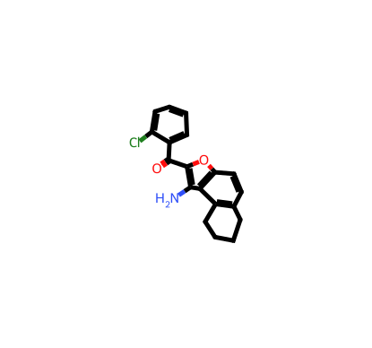 Nc1c(C(=O)c2ccccc2Cl)oc2ccc3c(c12)CCCC3